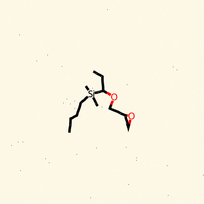 CCCC[Si](C)(C)C(CC)OCC1CO1